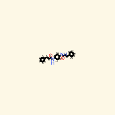 O=C(C=Cc1ccccc1)NC1CCC(NC(=O)C=Cc2ccccc2)CC1